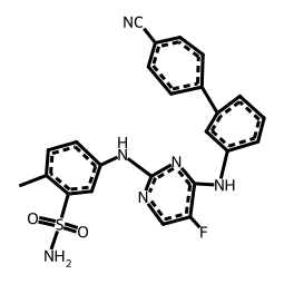 Cc1ccc(Nc2ncc(F)c(Nc3cccc(-c4ccc(C#N)cc4)c3)n2)cc1S(N)(=O)=O